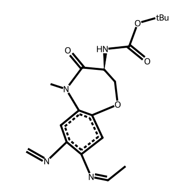 C=Nc1cc2c(cc1/N=C\C)OC[C@H](NC(=O)OC(C)(C)C)C(=O)N2C